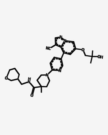 CC(C)(O)COc1cc(-c2ccc(N3CCC(C)(C(=O)NCC4CCCOC4)CC3)nc2)c2c(C#N)cnn2c1